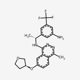 Cc1nnc(N[C@H](C)c2cc(N)cc(C(F)(F)F)c2)c2cc(O[C@H]3CCOC3)ccc12